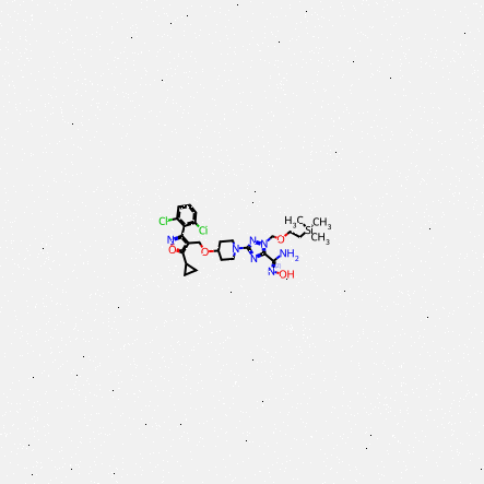 C[Si](C)(C)CCOCn1nc(N2CCC(OCc3c(-c4c(Cl)cccc4Cl)noc3C3CC3)CC2)nc1/C(N)=N/O